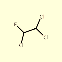 FC(Cl)[C](Cl)Cl